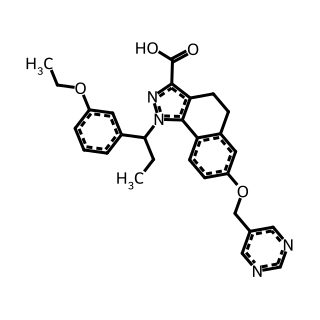 CCOc1cccc(C(CC)n2nc(C(=O)O)c3c2-c2ccc(OCc4cncnc4)cc2CC3)c1